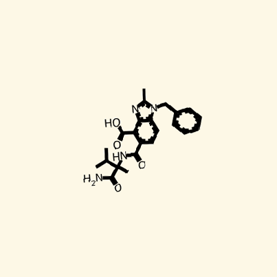 Cc1nc2c(C(=O)O)c(C(=O)NC(C)(C(N)=O)C(C)C)ccc2n1Cc1ccccc1